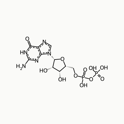 Nc1nc2c(ncn2[C@@H]2O[C@H](COP(=O)(O)OP(=O)(O)O)[C@H](O)[C@@H]2O)c(=O)[nH]1